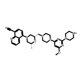 COc1cc(N2CCN(C[C@H]3CN(c4ccc(C#N)c5ncccc45)C[C@@H](C)O3)CC2)nc(N2CCNCC2)n1